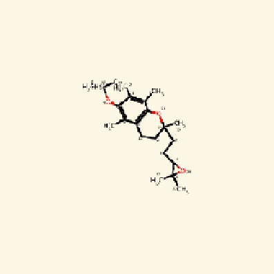 Cc1c(C)c2c(c(C)c1O[SiH](C)C)CC[C@@](C)(CCC1OC1(C)C)O2